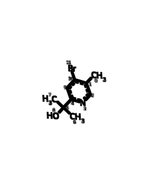 Cc1cnc(C(C)(C)O)cc1Br